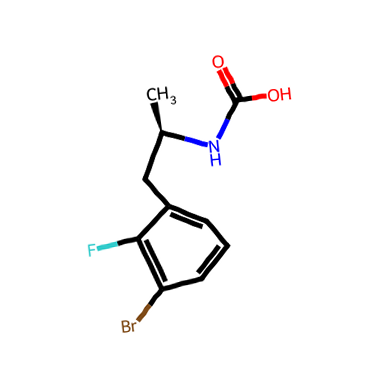 C[C@H](Cc1cccc(Br)c1F)NC(=O)O